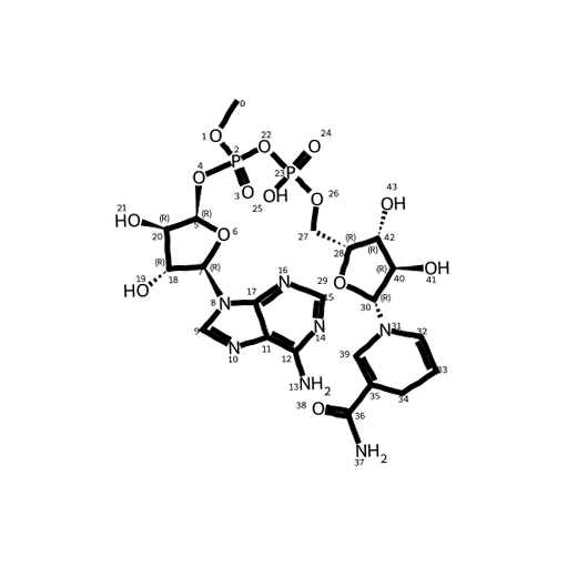 COP(=O)(O[C@H]1O[C@@H](n2cnc3c(N)ncnc32)[C@H](O)[C@H]1O)OP(=O)(O)OC[C@H]1O[C@@H](N2C=CCC(C(N)=O)=C2)[C@H](O)[C@H]1O